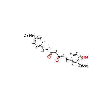 COc1cc(/C=C/C(=O)CC(=O)/C=C/c2ccc(NC(C)=O)cc2)ccc1O